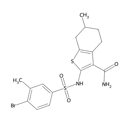 Cc1cc(S(=O)(=O)Nc2sc3c(c2C(N)=O)CCC(C)C3)ccc1Br